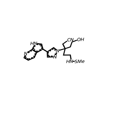 CSNCCC(CC#N)(CCO)n1cc(-c2c[nH]c3ncccc23)cn1